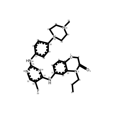 CCCN1C(=O)COc2ccc(Nc3nc(Nc4ccc(N5CCN(C)CC5)cc4)ncc3F)cc21